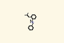 CC(C)=Cc1ccccc1/N=C/c1ccccc1